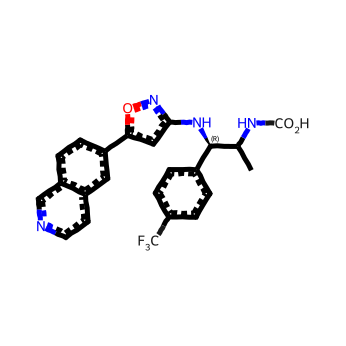 CC(NC(=O)O)[C@H](Nc1cc(-c2ccc3cnccc3c2)on1)c1ccc(C(F)(F)F)cc1